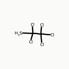 [SiH3]C(Cl)(Cl)C(Cl)(Cl)Cl